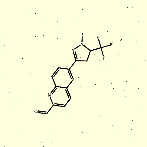 CN1N=C(c2ccc3nc(C=O)ccc3c2)CC1C(F)(F)F